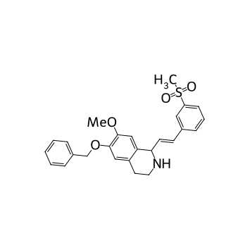 COc1cc2c(cc1OCc1ccccc1)CCNC2C=Cc1cccc(S(C)(=O)=O)c1